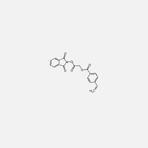 C=Cc1ccc(C(=O)OCC(=O)ON2C(=O)c3ccccc3C2=O)cc1